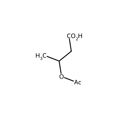 [CH2]C(=O)OC(C)CC(=O)O